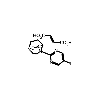 Ic1cnc(N2CCN3CCC2CC3)nc1.O=C(O)/C=C/C(=O)O